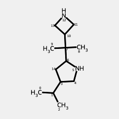 CC(C)C1CNC(C(C)(C)C2CNC2)C1